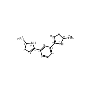 CCCCC1CN=C(c2cccc(C3=NCC(CCCC)N3)c2)N1